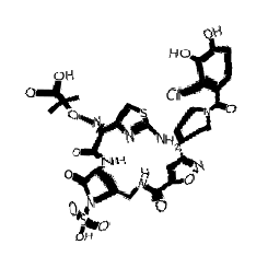 CC(C)(O/N=C(\C(=O)N[C@@H]1C(=O)N(S(=O)(=O)O)[C@@H]1CNC(=O)c1cc([C@@H]2CCN(C(=O)c3ccc(O)c(O)c3Cl)C2)no1)c1csc(N)n1)C(=O)O